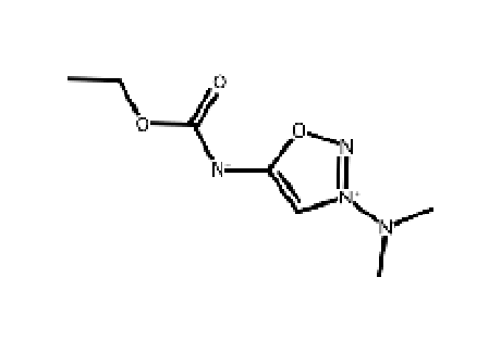 CCOC(=O)[N-]c1c[n+](N(C)C)no1